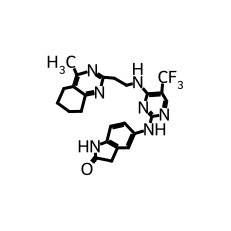 Cc1nc(CCNc2nc(Nc3ccc4c(c3)CC(=O)N4)ncc2C(F)(F)F)nc2c1CCCC2